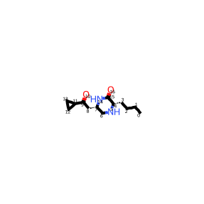 CCCC[C@@H]1NC[C@H](CC(=O)C2CC2)NC1=O